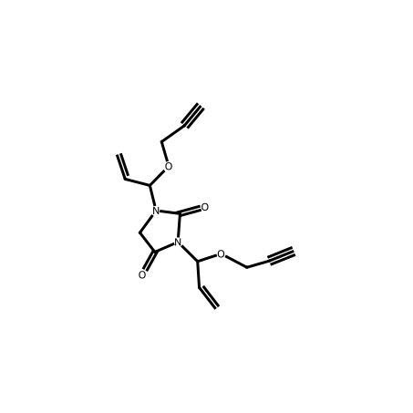 C#CCOC(C=C)N1CC(=O)N(C(C=C)OCC#C)C1=O